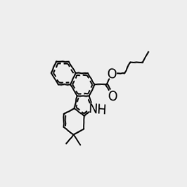 CCCCOC(=O)c1cc2ccccc2c2c3c([nH]c12)CC(C)(C)C=C3